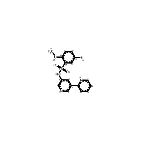 O=S(=O)(Nc1cncc(-c2ccccn2)c1)c1cc(Br)ccc1OC(F)(F)F